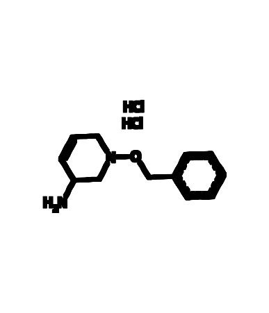 Cl.Cl.NC1C=CCN(OCc2ccccc2)C1